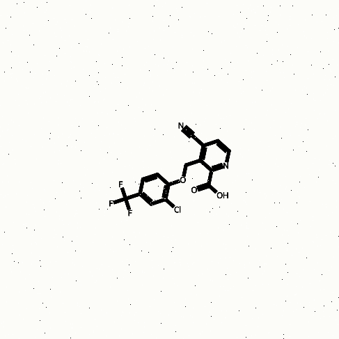 N#Cc1ccnc(C(=O)O)c1COc1ccc(C(F)(F)F)cc1Cl